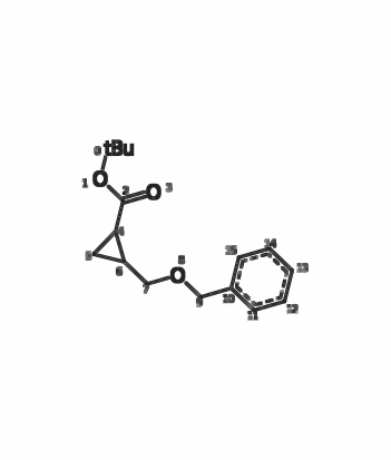 CC(C)(C)OC(=O)C1CC1COCc1ccccc1